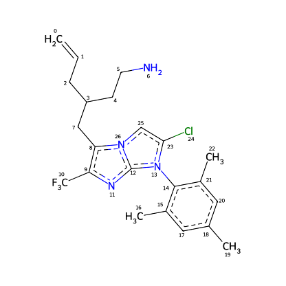 C=CCC(CCN)Cc1c(C(F)(F)F)nc2n(-c3c(C)cc(C)cc3C)c(Cl)cn12